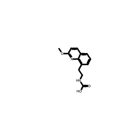 COc1ccc2cccc(CCNC(=O)O)c2n1